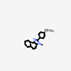 CC(=O)Nc1ccc(-c2nc3c4ccccc4ccc3n2C)cc1